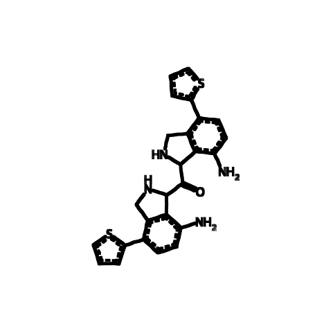 Nc1ccc(-c2cccs2)c2c1C(C(=O)C1NCc3c(-c4cccs4)ccc(N)c31)NC2